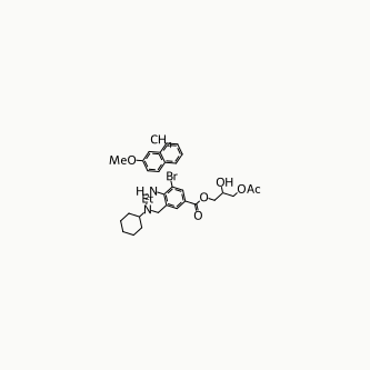 C.CCN(Cc1cc(C(=O)OCC(O)COC(C)=O)cc(Br)c1N)C1CCCCC1.COc1ccc2ccccc2c1